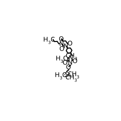 CCCCN1C(=O)CC(=O)N(C2CCC(CN3C(=O)N(COCC[Si](C)(C)C)C(=O)C3(C)C)CC2)C1=O